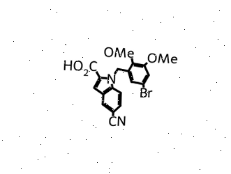 COc1cc(Br)cc(Cn2c(C(=O)O)cc3cc(C#N)ccc32)c1OC